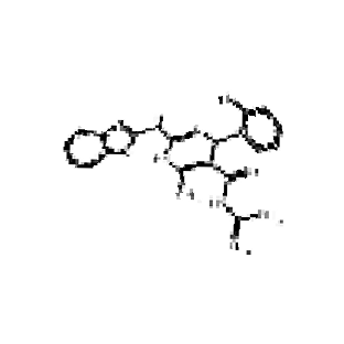 C=C(N)NC(=O)C1=C(C)NC(Nc2nc3ccccc3o2)=NC1c1ccccc1Cl